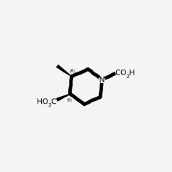 C[C@H]1CN(C(=O)O)CC[C@H]1C(=O)O